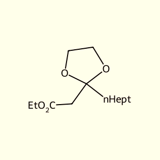 CCCCCCCC1(CC(=O)OCC)OCCO1